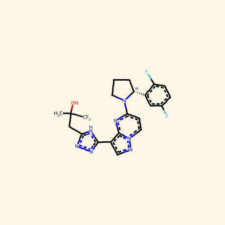 CC(O)(Cc1nnc(-c2cnn3ccc(N4CCC[C@@H]4c4cc(F)ccc4F)nc23)[nH]1)C(F)(F)F